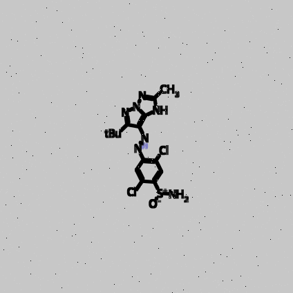 Cc1nn2nc(C(C)(C)C)c(/N=N/c3cc(Cl)c([S+](N)[O-])cc3Cl)c2[nH]1